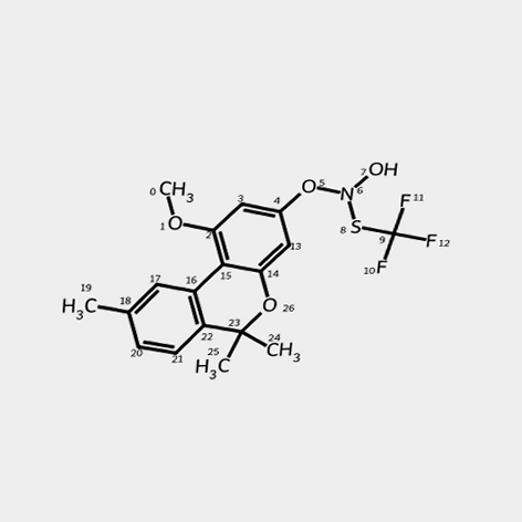 COc1cc(ON(O)SC(F)(F)F)cc2c1-c1cc(C)ccc1C(C)(C)O2